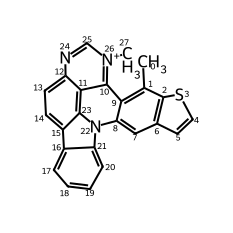 Cc1c2sccc2cc2c1c1c3c(ccc4c5ccccc5n2c43)nc[n+]1C